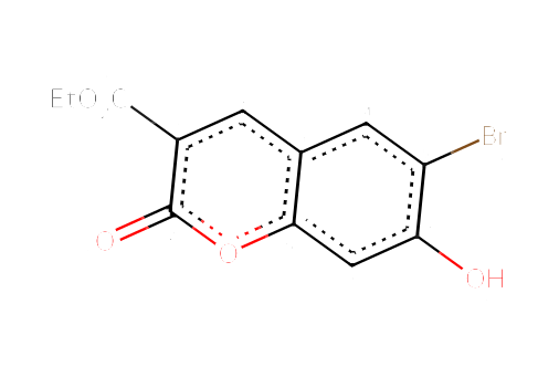 CCOC(=O)c1cc2cc(Br)c(O)cc2oc1=O